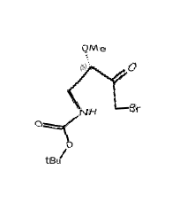 CO[C@@H](CNC(=O)OC(C)(C)C)C(=O)CBr